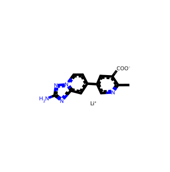 Cc1ncc(-c2ccn3nc(N)nc3c2)cc1C(=O)[O-].[Li+]